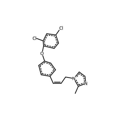 Cc1nccn1C/C=C\c1ccc(Oc2ccc(Cl)cc2Cl)cc1